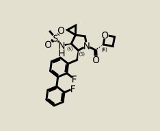 CS(=O)(=O)N[C@@H]1[C@H](Cc2cccc(-c3ccccc3F)c2F)N(C(=O)[C@H]2CCO2)CC12CC2